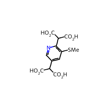 CSc1cc(C(C(=O)O)C(=O)O)cnc1C(C(=O)O)C(=O)O